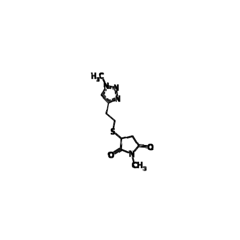 CN1C(=O)CC(SCCc2cn(C)nn2)C1=O